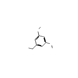 CCOc1cc(C[O])cc(OCC)c1